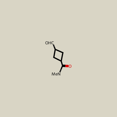 CNC(=O)C1CC(C=O)C1